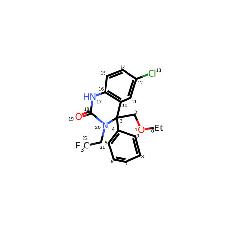 CCOCC1(c2ccccc2)c2cc(Cl)ccc2NC(=O)N1CC(F)(F)F